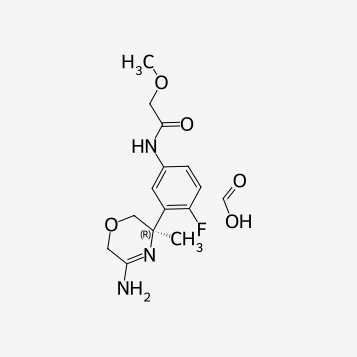 COCC(=O)Nc1ccc(F)c([C@]2(C)COCC(N)=N2)c1.O=CO